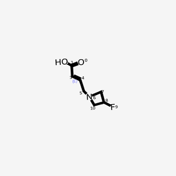 O=C(O)/C=C/CN1CC(F)C1